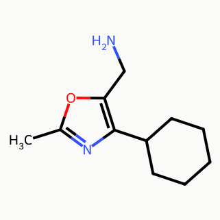 Cc1nc(C2CCCCC2)c(CN)o1